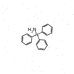 N[N+](c1ccccc1)(c1ccccc1)c1ccccc1